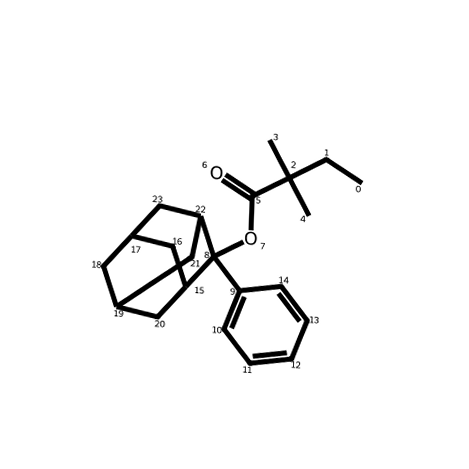 CCC(C)(C)C(=O)OC1(c2ccccc2)C2CC3CC(C2)CC1C3